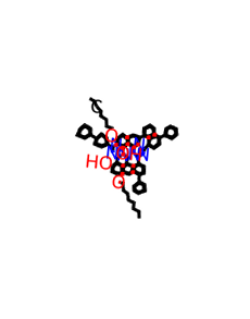 CCCCCCCCOc1ccc(C2N=C(c3ccc(-c4ccccc4)cc3)N=C(c3ccc(-c4ccccc4)cc3)N2C(c2ccccc2)N2C(c3ccc(-c4ccccc4)cc3)=NC(c3ccc(-c4ccccc4)cc3)=NC2c2ccc(OCCCCCCCC)cc2O)c(O)c1